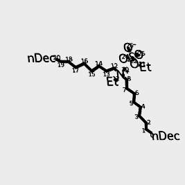 CCCCCCCCCCCCCCCCCC[N+](C)(CC)CCCCCCCCCCCCCCCCCC.CCOS(=O)(=O)[O-]